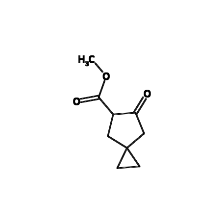 COC(=O)C1CC2(CC2)CC1=O